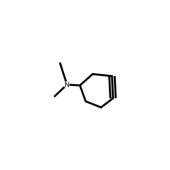 CN(C)C1CC#CCC1